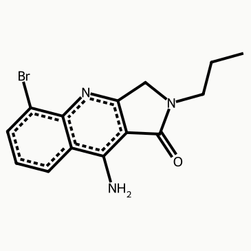 CCCN1Cc2nc3c(Br)cccc3c(N)c2C1=O